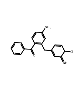 N=C1C=C(Cc2cc(N)ccc2C(=O)c2ccccc2)C=CC1Cl